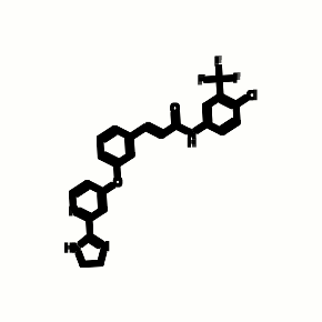 O=C(/C=C/c1cccc(Oc2ccnc(C3=NCCN3)c2)c1)Nc1ccc(Cl)c(C(F)(F)F)c1